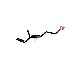 C=C/C(C)=C/CCBr